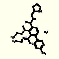 CN(SON)c1c([S+]([O-])NCC2CCCN2)ccc(-c2ccc(N)nc2)c1/C(N)=N/NN.S